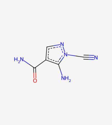 N#Cn1ncc(C(N)=O)c1N